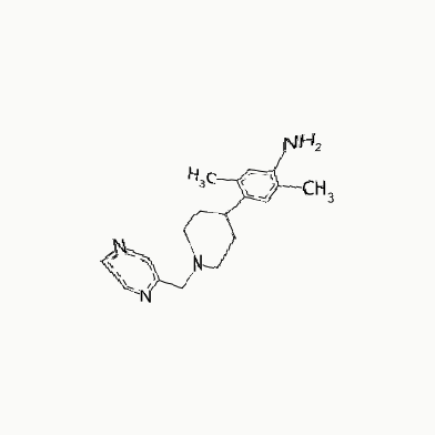 Cc1cc(C2CCN(Cc3cnccn3)CC2)c(C)cc1N